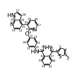 Cc1ccc(-c2nnc(Nc3ccc(Oc4ncccc4-c4ccnc5[nH]ccc45)cc3)c3ccccc23)s1